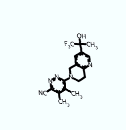 Cc1c(C#N)nnc(N2CCc3ncc(C(C)(O)C(F)(F)F)cc3C2)c1C